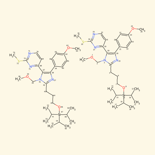 COCn1c(CCCO[Si](C(C)C)(C(C)C)C(C)C)nc(-c2ccc(OC)cc2)c1-c1ccnc(SC)n1.COCn1c(CCCO[Si](C(C)C)(C(C)C)C(C)C)nc(-c2ccc(OC)cc2)c1-c1ccnc(SC)n1